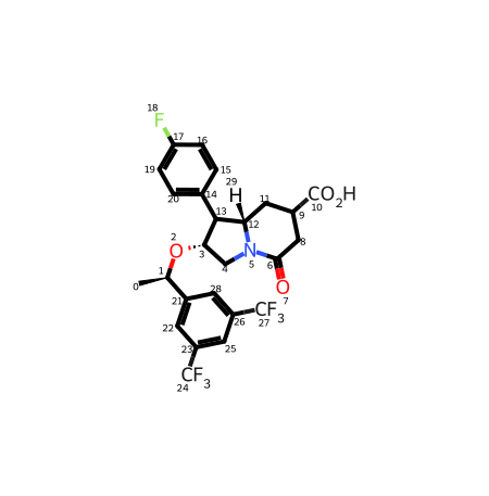 C[C@@H](O[C@H]1CN2C(=O)CC(C(=O)O)C[C@H]2C1c1ccc(F)cc1)c1cc(C(F)(F)F)cc(C(F)(F)F)c1